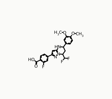 COc1ccc(C2CC(C(F)F)n3nc(-c4ccc(C(=O)O)c(F)c4)cc3N2)cc1OC